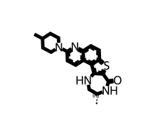 CC1CCN(c2ccc3c(ccc4sc5c(c43)NC[C@@H](C)NC5=O)n2)CC1